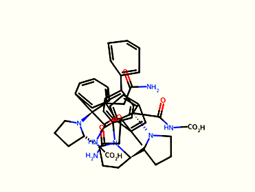 CC1(CC(N)=O)c2ccc(cc2)[C@]1(C(=O)NC(=O)O)N1CCCC1[C@H]1CC[C@H](C2CCCN2[C@@]2(C(=O)NC(=O)O)c3ccc(cc3)C2(C)CC(N)=O)N1c1ccc(-c2ccccc2)cc1